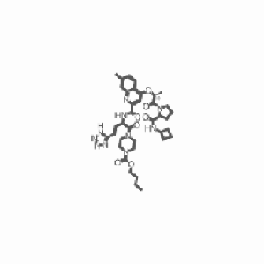 CCCCOC(=O)N1CCN(C(=O)C(CCc2nnn[nH]2)NC(=O)c2cc(O[C@@H](C)C(=O)N3CCCC3C(=O)NC3CCC3)c3ccc(C)cc3n2)CC1